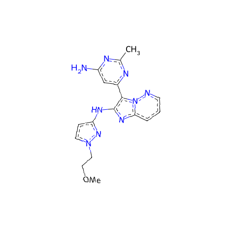 COCCn1ccc(Nc2nc3cccnn3c2-c2cc(N)nc(C)n2)n1